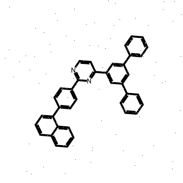 c1ccc(-c2cc(-c3ccccc3)cc(-c3ccnc(-c4ccc(-c5cccc6ccccc56)cc4)n3)c2)cc1